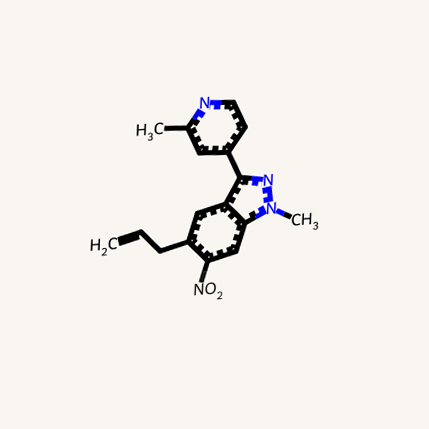 C=CCc1cc2c(-c3ccnc(C)c3)nn(C)c2cc1[N+](=O)[O-]